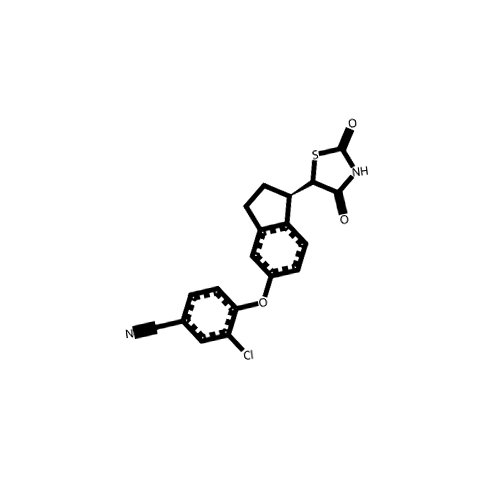 N#Cc1ccc(Oc2ccc3c(c2)CC[C@H]3C2SC(=O)NC2=O)c(Cl)c1